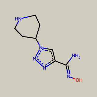 N/C(=N\O)c1cn(C2CCNCC2)nn1